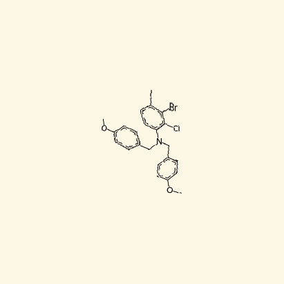 COc1ccc(CN(Cc2ccc(OC)cc2)c2ccc(I)c(Br)c2Cl)cc1